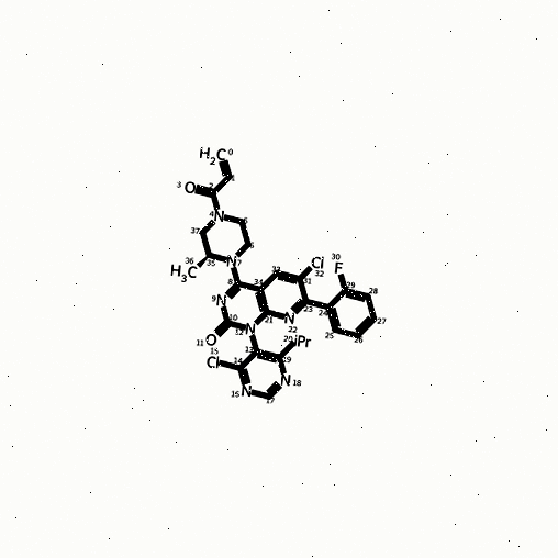 C=CC(=O)N1CCN(c2nc(=O)n(-c3c(Cl)ncnc3C(C)C)c3nc(-c4ccccc4F)c(Cl)cc23)[C@@H](C)C1